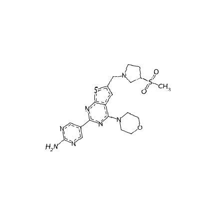 CS(=O)(=O)C1CCN(Cc2cc3c(N4CCOCC4)nc(-c4cnc(N)nc4)nc3s2)C1